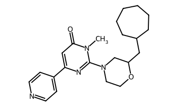 Cn1c(N2CCOC(CC3CCCCCC3)C2)nc(-c2ccncc2)cc1=O